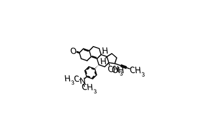 CC#C[C@]1(O)CC[C@H]2[C@@H]3CCC4=CC(=O)CCC4=C3[C@@H](c3ccc(N(C)C)cc3)C[C@]21C